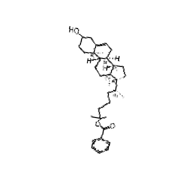 C[C@H](CCCC(C)(C)OC(=O)c1ccccc1)[C@H]1CC[C@H]2[C@@H]3CC=C4CC(O)CC[C@]4(C)[C@H]3CC[C@]12C